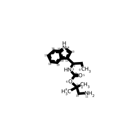 CCC(NC(=O)OC(C)(C)CN)c1c[nH]c2ccccc12